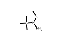 CSN(N)S(C)(C)C